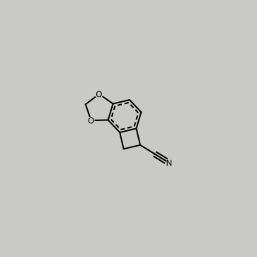 N#CC1Cc2c1ccc1c2OCO1